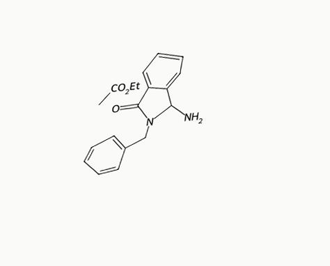 CCOC(C)=O.NC1c2ccccc2C(=O)N1Cc1ccccc1